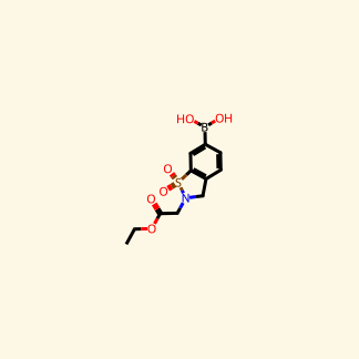 CCOC(=O)CN1Cc2ccc(B(O)O)cc2S1(=O)=O